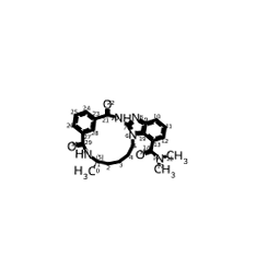 C[C@H]1CCCCn2c(nc3cccc(C(=O)N(C)C)c32)NC(=O)c2cccc(c2)C(=O)N1